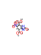 COC(=O)c1cc([N+](=O)[O-])c(C(=O)OC)cc1NC=O